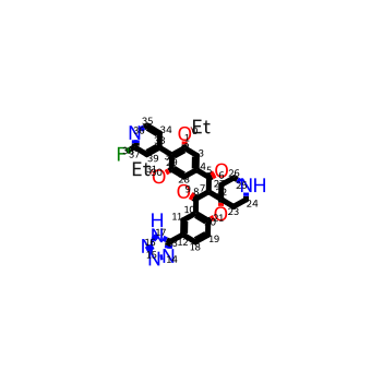 CCOc1cc(C(=O)C2C(=O)c3cc(-c4nnn[nH]4)ccc3OC23CCNCC3)cc(OCC)c1-c1ccnc(F)c1